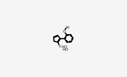 CC(C)Oc1ccccc1C1=[C]([Ti])CC=C1.Cl.Cl